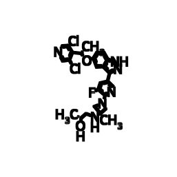 C[C@@H](O)CNC1(C)CN(c2ncc(-c3n[nH]c4ccc(O[C@H](C)c5c(Cl)cncc5Cl)cc34)cc2F)C1